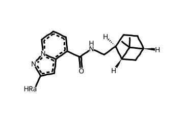 CC1(C)[C@@H]2CC[C@H](CNC(=O)c3cccn4n[c]([RaH])cc34)[C@H]1C2